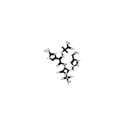 CC(C)(ON=C(C(=O)N[C@@H]1C(=O)N(S(=O)(=O)O)[C@H]1Cn1cc(CN)nn1)c1csc(N)n1)C(=O)O